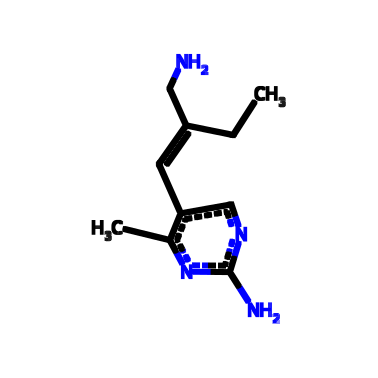 CC/C(=C\c1cnc(N)nc1C)CN